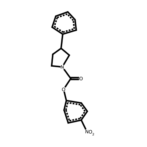 O=C(Oc1ccc([N+](=O)[O-])cc1)N1CCC(c2ccccc2)C1